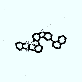 C1=CC2=NC34C(c5cccc6c7c8c(ccc7n3c56)sc3ccc(-c5cccc6ccccc56)cc38)N4C2C=C1